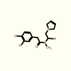 CC(C)C(CN1CC=CC1)N(C)C(=O)Cc1ccc(Cl)c(Cl)c1